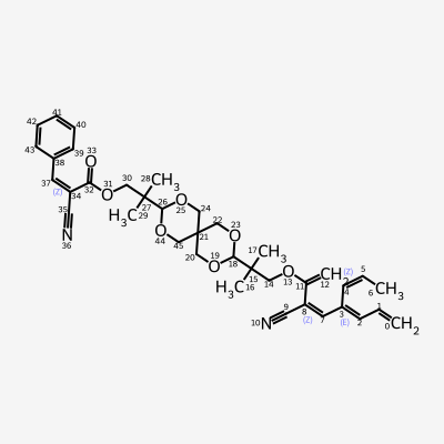 C=C/C=C(\C=C/C)/C=C(/C#N)C(=C)OCC(C)(C)C1OCC2(CO1)COC(C(C)(C)COC(=O)/C(C#N)=C\c1ccccc1)OC2